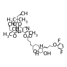 C#CCC(C)(C)C(=O)NCc1c(COC(=O)C(C)(C)CC#C)cnc(C)c1OC(=O)CCC[C@H]1CC[C@@H]2[C@@H](/C=C/CCOc3cc(F)ccc3F)[C@H](O)C[C@@H]2OC1